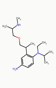 CCN(c1ccc(N)cc1C(C)COCC(C)NC)C(C)C